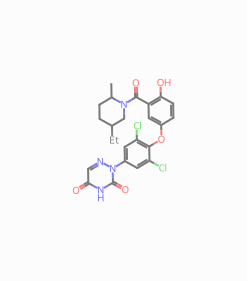 CCC1CCC(C)N(C(=O)c2cc(Oc3c(Cl)cc(-n4ncc(=O)[nH]c4=O)cc3Cl)ccc2O)C1